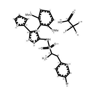 COc1cccc(OC)c1-n1c(NS(=O)(=O)C(C)Cc2ccc(Br)cn2)nnc1-c1ccco1.O=C(O)C(F)(F)F